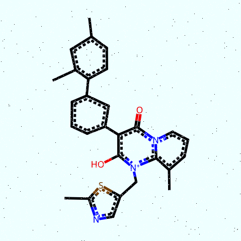 Cc1ccc(-c2cccc(-c3c(O)[n+](Cc4cnc(C)s4)c4c(C)cccn4c3=O)c2)c(C)c1